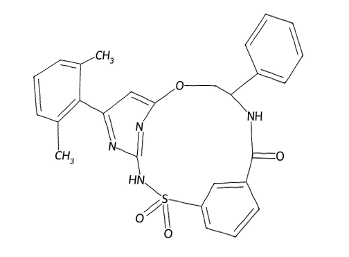 Cc1cccc(C)c1-c1cc2nc(n1)NS(=O)(=O)c1cccc(c1)C(=O)NC(c1ccccc1)CO2